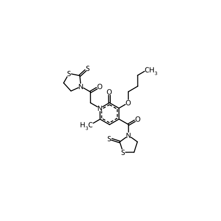 CCCCOc1c(C(=O)N2CCSC2=S)cc(C)n(CC(=O)N2CCSC2=S)c1=O